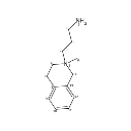 C[N+]1(CCCN)CCc2ccccc2C1